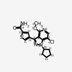 COc1ncc(Cl)c2c1c(-c1csc(C(N)=O)c1)nn2C1CCCC1